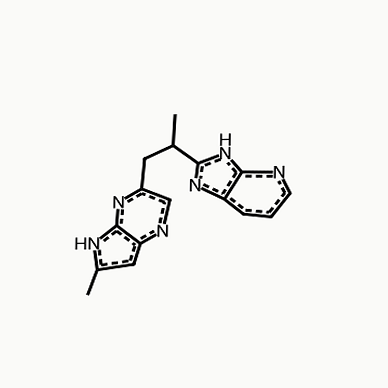 Cc1cc2ncc(CC(C)c3nc4cccnc4[nH]3)nc2[nH]1